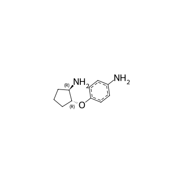 Nc1ccc(O[C@@H]2CCC[C@H]2N)cc1